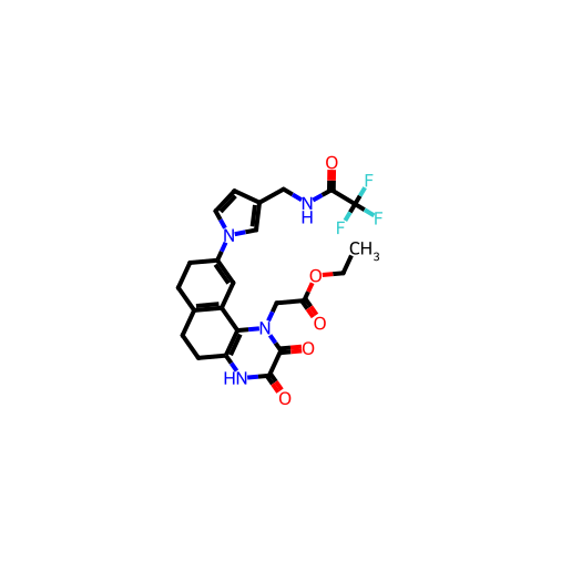 CCOC(=O)Cn1c2c([nH]c(=O)c1=O)CCC1=C2C=C(n2ccc(CNC(=O)C(F)(F)F)c2)CC1